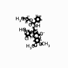 COc1ccc([C@H](Cc2c(Cl)c[n+](O)cc2Cl)c2cc(CNC(C(=O)OC3CN(C)C3)c3ccccc3)sc2C(=O)[O-])cc1OC